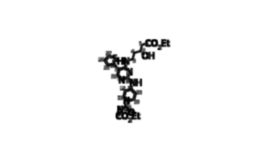 CCOC(=O)C[C@H](O)CCNc1nc(Nc2ccc([SH](=O)=NC(=O)OCC)cc2)ncc1-c1cccs1